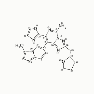 Cc1cnc2ccc(-c3c(-c4ncco4)nc(N)n4nc(C[C@@H]5CCCO5)nc34)cn12